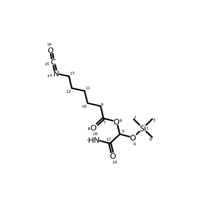 C[Si](C)(C)OC(OC(=O)CCCCCN=C=O)C([NH])=O